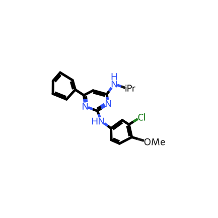 COc1ccc(Nc2nc(NC(C)C)cc(-c3ccccc3)n2)cc1Cl